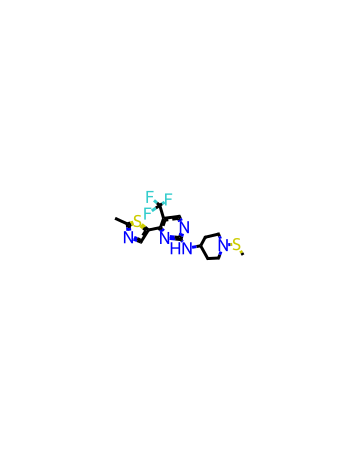 CSN1CCC(Nc2ncc(C(F)(F)F)c(-c3cnc(C)s3)n2)CC1